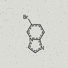 Brc1ccc2nc[c]n2c1